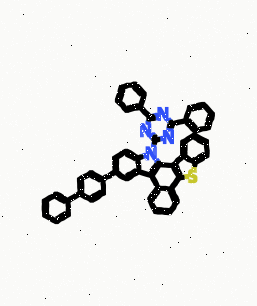 c1ccc(-c2ccc(-c3ccc4c(c3)c3c5ccccc5c5sc6ccccc6c5c3n4-c3nc(-c4ccccc4)nc(-c4ccccc4)n3)cc2)cc1